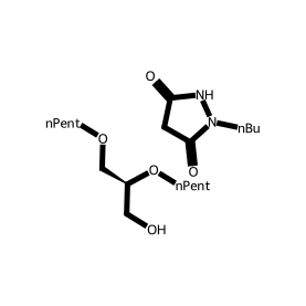 CCCCCOC[C@H](CO)OCCCCC.CCCCN1NC(=O)CC1=O